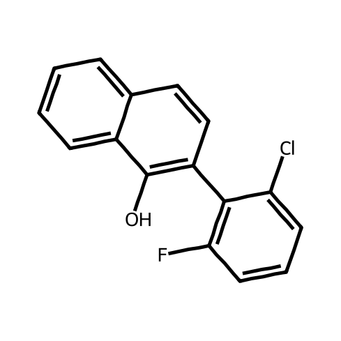 Oc1c(-c2c(F)cccc2Cl)ccc2ccccc12